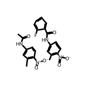 CC(=O)Nc1ccc([N+](=O)[O-])c(C)c1.Cc1cc(NC(=O)c2ccccc2F)ccc1[N+](=O)[O-]